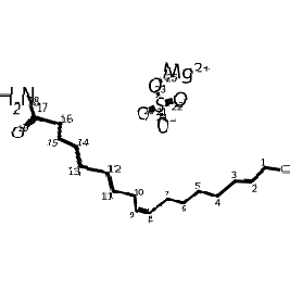 CCCCCCCC/C=C\CCCCCCCC(N)=O.O=S(=O)([O-])[O-].[Mg+2]